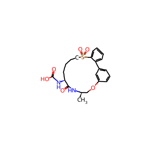 C[C@@H]1COc2cccc(c2)-c2ccccc2S(=O)(=O)CCCC[C@H](NC(=O)O)C(=O)N1